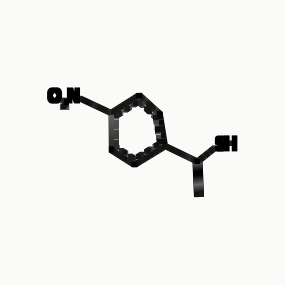 C=C(S)c1ccc([N+](=O)[O-])cc1